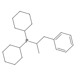 CC(Cc1ccccc1)P(C1CCCCC1)C1CCCCC1